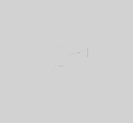 OC(OCC(F)(F)F)C1CC1